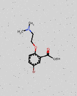 COC(=O)c1cc(Br)ccc1OCCN(C)C